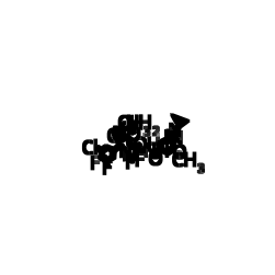 COc1cc(C(=O)NCC(O)(c2cc3c(c(-c4cc(F)c(F)c(Cl)c4)n2)OC[C@]3(C)C(N)=O)C(F)(F)F)cc2cn(C3CC3)nc12